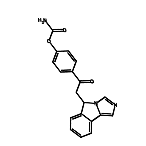 NC(=O)Oc1ccc(C(=O)CC2c3ccccc3-c3cncn32)cc1